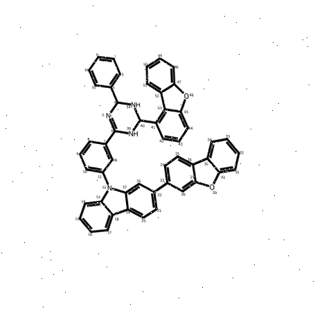 c1ccc(C2N=C(c3cccc(-n4c5ccccc5c5ccc(-c6ccc7c(c6)oc6ccccc67)cc54)c3)NC(c3cccc4oc5ccccc5c34)N2)cc1